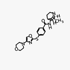 C[C@H]1[C@H](NC(=O)c2ccc(Sc3nc(N4CCOCC4)co3)cc2)C2CCN1CC2